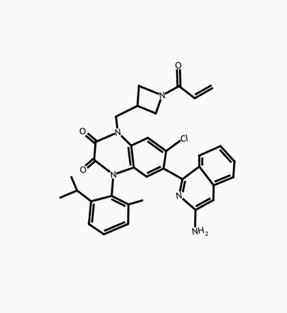 C=CC(=O)N1CC(Cn2c(=O)c(=O)n(-c3c(C)cccc3C(C)C)c3cc(-c4nc(N)cc5ccccc45)c(Cl)cc32)C1